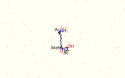 CN[C@@H](CCCCC/C=C/[C@@H]1C[C@]1(NP)C(C)=O)C(=O)N1C[C@H](O)C(C)[C@H]1C(C)=O